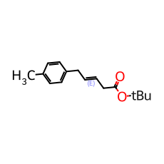 Cc1ccc(C/C=C/CC(=O)OC(C)(C)C)cc1